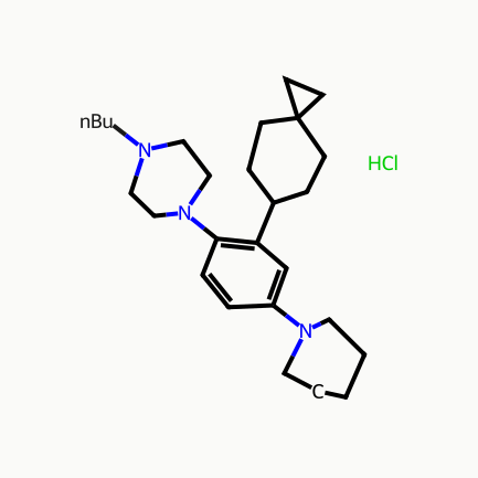 CCCCN1CCN(c2ccc(N3CCCCC3)cc2C2CCC3(CC2)CC3)CC1.Cl